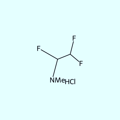 CNC(F)C(F)F.Cl